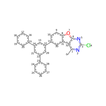 Cc1nc(Cl)nc2oc3ccc(-c4cc(-c5ccccc5)cc(-c5ccccc5)c4)cc3c12